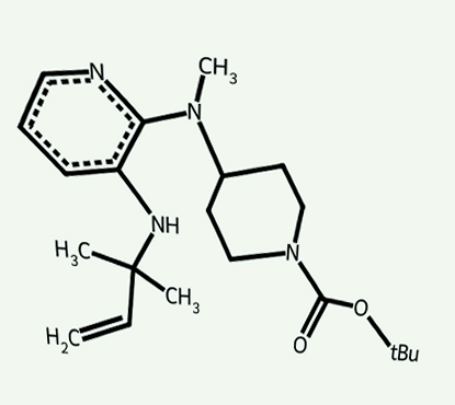 C=CC(C)(C)Nc1cccnc1N(C)C1CCN(C(=O)OC(C)(C)C)CC1